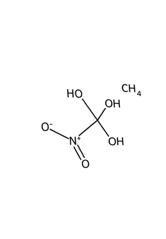 C.O=[N+]([O-])C(O)(O)O